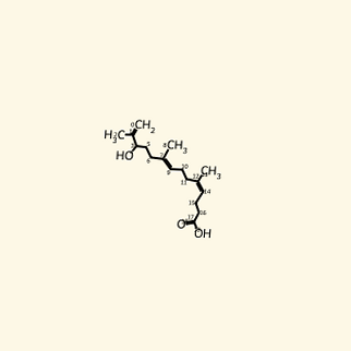 C=C(C)C(O)CC/C(C)=C/CC/C(C)=C\CCC(=O)O